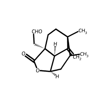 C=C1[C@H]2[C@H]3CC(C)C1(C)CC[C@]2(CC=O)C(=O)O3